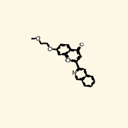 COCCOc1ccc2c(=O)cc(-c3cc4ccccc4cn3)oc2c1